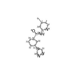 Cc1ccnc(NC(=O)c2cccc(-n3cnnc3)c2)c1